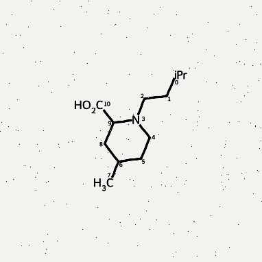 CC(C)CCN1CCC(C)CC1C(=O)O